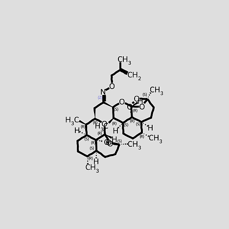 C=C(C)CO/N=C(/C[C@H]1O[C@@H]2O[C@]3(C)CC[C@H]4[C@H](C)CC[C@@H]([C@H]1C)[C@@]24OO3)[C@H]1O[C@@H]2O[C@]3(C)CC[C@H]4[C@H](C)CC[C@@H]([C@H]1C)[C@@]24OO3